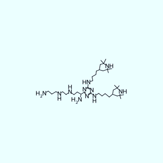 CC1(C)CC(CCCCNc2nc(NCCCCC3CC(C)(C)NC(C)(C)C3)nc(C(N)CCNCCNCCCN)n2)CC(C)(C)N1